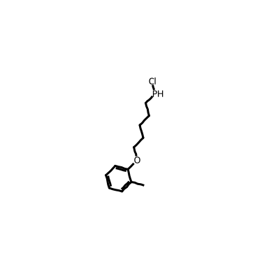 Cc1ccccc1OCCCCCPCl